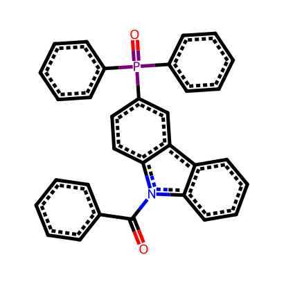 O=C(c1ccccc1)n1c2ccccc2c2cc(P(=O)(c3ccccc3)c3ccccc3)ccc21